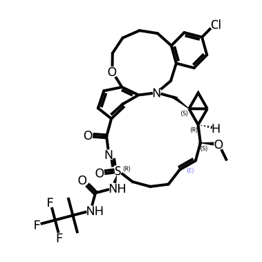 CO[C@H]1/C=C/CCC[S@@](=O)(NC(=O)NC(C)(C)C(F)(F)F)=NC(=O)c2ccc3c(c2)N(Cc2ccc(Cl)cc2CCCCO3)C[C@@]23CC2[C@@H]13